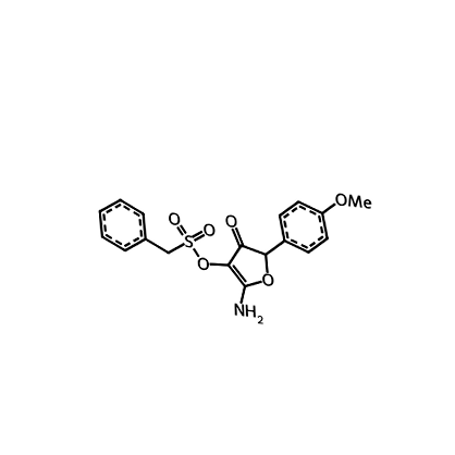 COc1ccc(C2OC(N)=C(OS(=O)(=O)Cc3ccccc3)C2=O)cc1